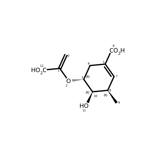 C=C(O[C@@H]1CC(C(=O)O)=C[C@@H](C)[C@H]1O)C(=O)O